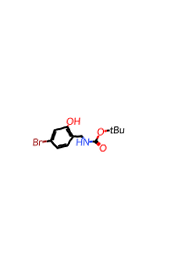 CC(C)(C)OC(=O)NCc1ccc(Br)cc1O